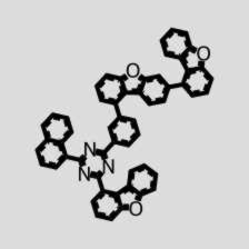 c1cc(-c2nc(-c3cccc4ccccc34)nc(-c3cccc4oc5ccccc5c34)n2)cc(-c2cccc3oc4cc(-c5cccc6oc7ccccc7c56)ccc4c23)c1